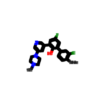 CC(=O)Nc1ccc(-c2cc(F)cc(-c3cncc(N4CCN(C(C)(C)C)CC4)c3)c2O)cc1Cl